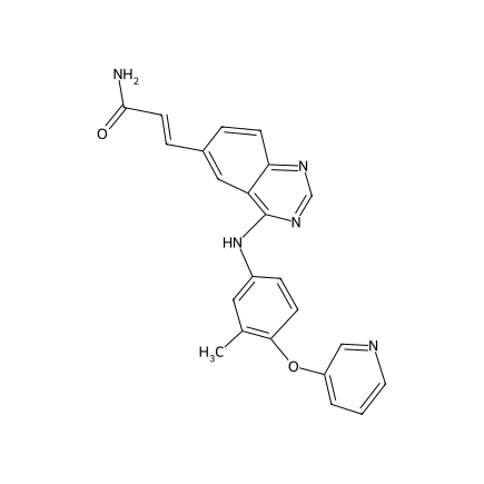 Cc1cc(Nc2ncnc3ccc(C=CC(N)=O)cc23)ccc1Oc1cccnc1